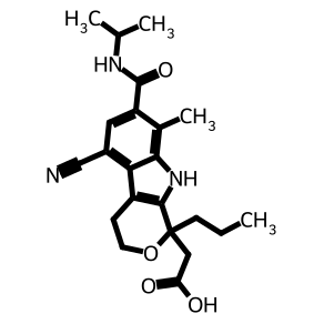 CCCC1(CC(=O)O)OCCc2c1[nH]c1c(C)c(C(=O)NC(C)C)cc(C#N)c21